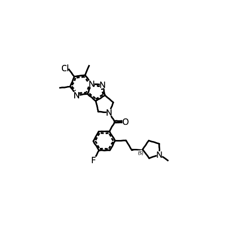 Cc1nc2c3c(nn2c(C)c1Cl)CN(C(=O)c1ccc(F)cc1CC[C@H]1CCN(C)C1)C3